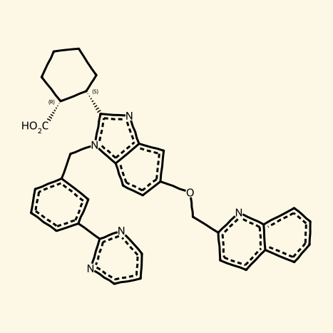 O=C(O)[C@@H]1CCCC[C@@H]1c1nc2cc(OCc3ccc4ccccc4n3)ccc2n1Cc1cccc(-c2ncccn2)c1